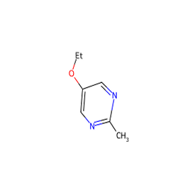 CCOc1cnc(C)nc1